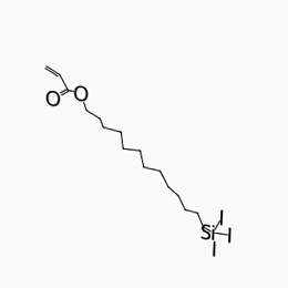 C=CC(=O)OCCCCCCCCCCCCC[Si](I)(I)I